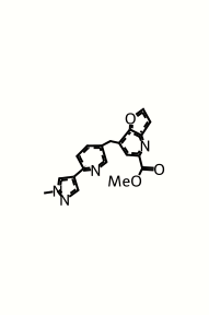 COC(=O)c1cc(Cc2ccc(-c3cnn(C)c3)nc2)c2occc2n1